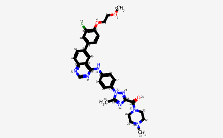 COCCOc1ccc(-c2ccc3ncnc(Nc4ccc(-n5nc(C(=O)N6CCN(C)CC6)nc5C)cc4)c3c2)cc1F